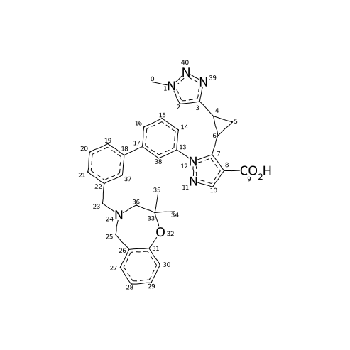 Cn1cc(C2CC2c2c(C(=O)O)cnn2-c2cccc(-c3cccc(CN4Cc5ccccc5OC(C)(C)C4)c3)c2)nn1